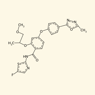 COCC(C)Oc1cc(Oc2ccc(-c3nnc(C)o3)cc2)ccc1C(=O)Nc1ncc(F)s1